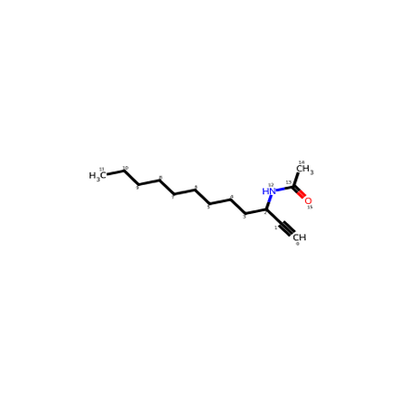 C#CC(CCCCCCCCC)NC(C)=O